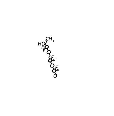 CCCC(O)c1ccc(C2=CCC(CCc3ccc(C4CCC(c5ccc(C6CO6)c(F)c5F)CC4)c(F)c3F)CC2)c(F)c1F